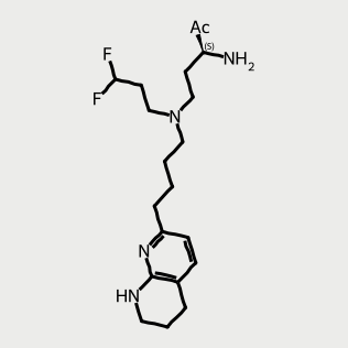 CC(=O)[C@@H](N)CCN(CCCCc1ccc2c(n1)NCCC2)CCC(F)F